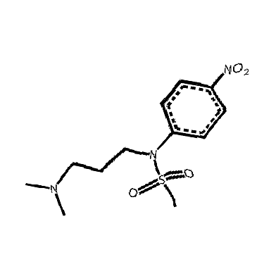 CN(C)CCCN(c1ccc([N+](=O)[O-])cc1)S(C)(=O)=O